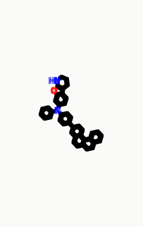 C1=Cc2c(oc3cc(N(c4ccccc4)c4ccc(-c5ccc6c(ccc7ccc8ccccc8c76)c5)cc4)ccc23)NC1